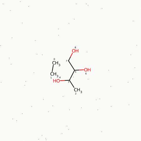 CC.CC(O)C(O)CO